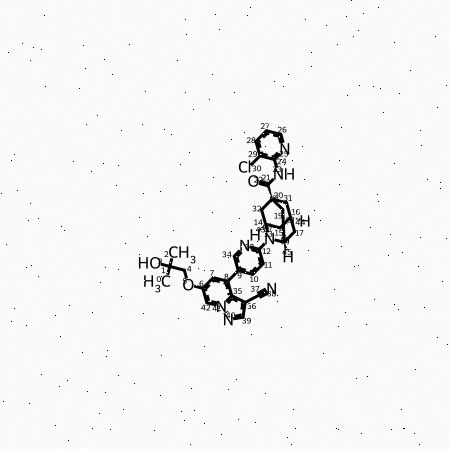 CC(C)(O)COc1cc(-c2ccc(N3[C@@H]4C[C@@H]5C[C@H]3C[C@@](C(=O)Nc3ncccc3Cl)(C5)C4)nc2)c2c(C#N)cnn2c1